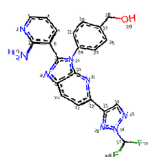 Nc1ncccc1-c1nc2ccc(-c3cnn(C(F)F)n3)nc2n1-c1ccc(CO)cc1